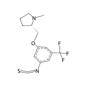 CN1CCC[C@H]1COc1cc(N=C=S)cc(C(F)(F)F)c1